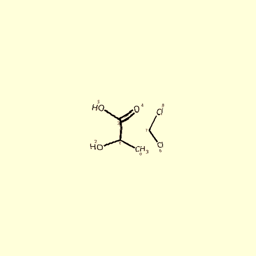 CC(O)C(=O)O.ClCCl